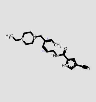 C/C=C(\C=C/CNC(=O)c1cc(C#N)c[nH]1)CN1CCN(CC)CC1